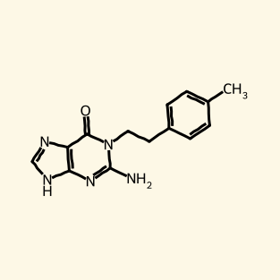 Cc1ccc(CCn2c(N)nc3[nH]cnc3c2=O)cc1